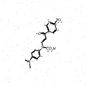 CN(C)c1ccc(N(C=CC(=O)c2ccc([N+](=O)[O-])nc2)C(=O)O)cc1